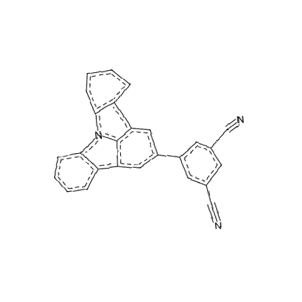 N#Cc1cc(C#N)cc(-c2cc3c4ccccc4n4c5ccccc5c(c2)c34)c1